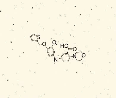 COc1cc(N(C)c2ccc(N3CCOCC3)c(C(=O)O)c2)ccc1OCc1cccs1